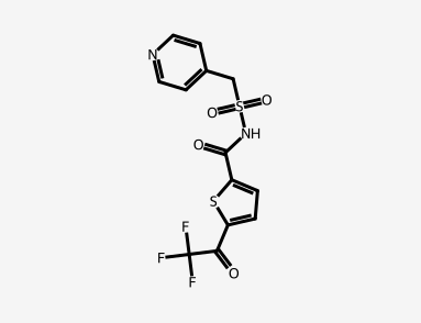 O=C(NS(=O)(=O)Cc1ccncc1)c1ccc(C(=O)C(F)(F)F)s1